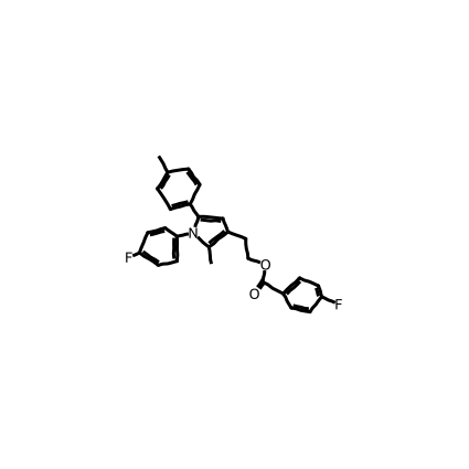 Cc1ccc(-c2cc(CCOC(=O)c3ccc(F)cc3)c(C)n2-c2ccc(F)cc2)cc1